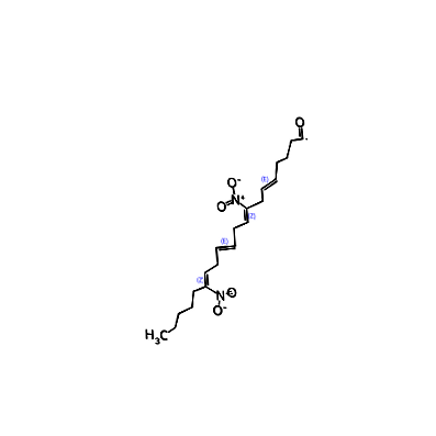 CCCCC/C(=C/C/C=C/C/C=C(/C/C=C/CCC[C]=O)[N+](=O)[O-])[N+](=O)[O-]